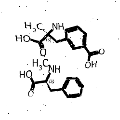 CN[C@@H](Cc1ccccc1)C(=O)O.C[C@](N)(Cc1cccc(C(=O)O)c1)C(=O)O